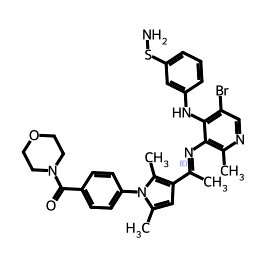 C/C(=N\c1c(C)ncc(Br)c1Nc1cccc(SN)c1)c1cc(C)n(-c2ccc(C(=O)N3CCOCC3)cc2)c1C